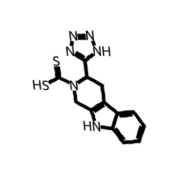 S=C(S)N1Cc2[nH]c3ccccc3c2CC1c1nnn[nH]1